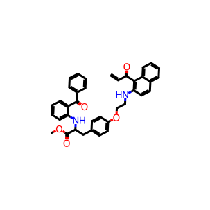 C=CC(=O)c1c(NCCOc2ccc(CC(Nc3ccccc3C(=O)c3ccccc3)C(=O)OC)cc2)ccc2ccccc12